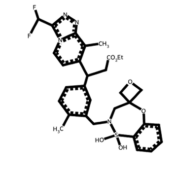 CCOC(=O)CC(c1ccc(C)c(CN2CC3(COC3)Oc3ccccc3S2(O)O)c1)c1ccn2c(C(F)F)nnc2c1C